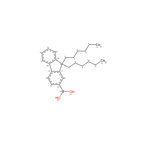 CCCCCCC1(CCCCCC)c2ccccc2-c2ccc(B(O)O)cc21